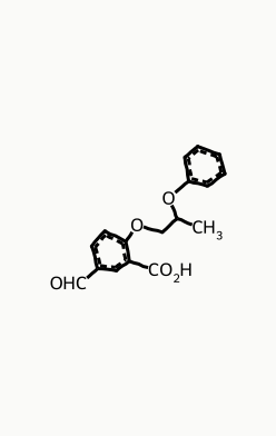 CC(COc1ccc(C=O)cc1C(=O)O)Oc1ccccc1